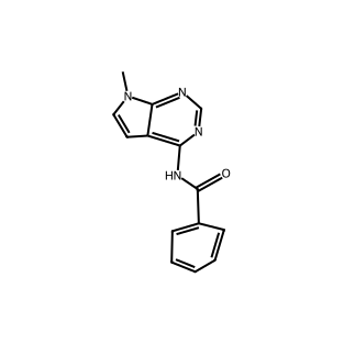 Cn1ccc2c(NC(=O)c3ccccc3)ncnc21